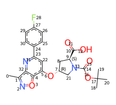 Cc1noc2c(O[C@@H]3C[C@@H](C(=O)O)N(C(=O)OC(C)(C)C)C3)cc(-c3ccc(F)cc3)nc12